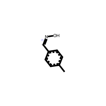 Cc1ccc(/[C]=N\O)cc1